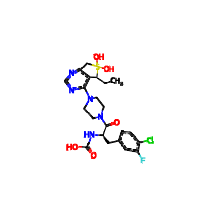 CCC1c2c(ncnc2N2CCN(C(=O)[C@@H](Cc3ccc(Cl)c(F)c3)NC(=O)O)CC2)CS1(O)O